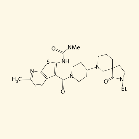 CCN1CCC2(CCCN(C3CCN(C(=O)c4c(NC(=O)NC)sc5nc(C)ccc45)CC3)C2)C1=O